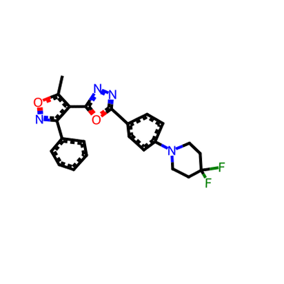 Cc1onc(-c2ccccc2)c1-c1nnc(-c2ccc(N3CCC(F)(F)CC3)cc2)o1